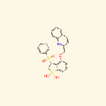 O=S(=O)(c1ccccc1)C1CS(O)(O)c2cccc(OCc3ccc4ccccc4n3)c21